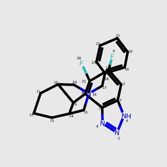 Fc1cc2[nH]nnc2c(C2C3CCCC2CN(Cc2ccccc2)C3)c1F